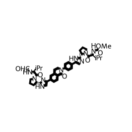 COC(=O)N[C@H](C(=O)N1CCC[C@H]1c1ncc(-c2ccc(-n3ccc4cc(-c5c[nH]c([C@@H]6CCCN6C(=O)[C@@H](NC=O)C(C)C)n5)ccc4c3=O)cc2)[nH]1)C(C)C